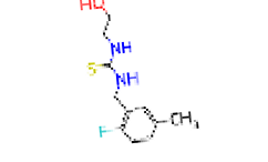 Cc1ccc(F)c(CNC(=S)NCCO)c1